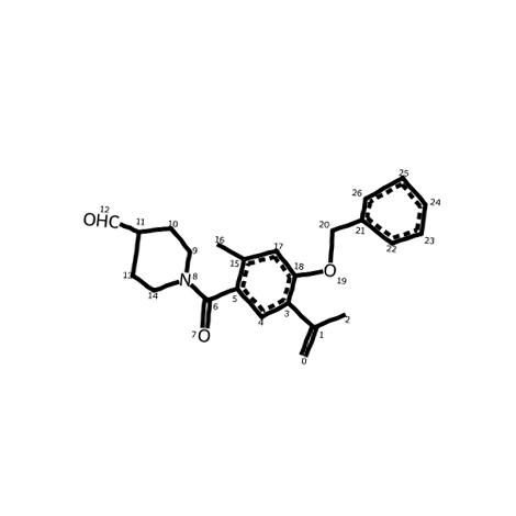 C=C(C)c1cc(C(=O)N2CCC(C=O)CC2)c(C)cc1OCc1ccccc1